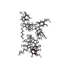 CCCCCC[C@H]1O[C@@H](n2cnc3c(N)ncnc32)[C@@H](OCCOC)C1OP(=O)(O)OC[C@H]1O[C@@H](n2cc(C)c(N)nc2=O)[C@@H](OCCOC)C1OP(=O)(S)OC[C@H]1O[C@@H](n2cc(C)c(=O)[nH]c2=O)[C@@H](OCCOC)C1OP(=O)(S)OC[C@H]1O[C@@H](n2cc(C)c(N)nc2=O)[C@@H](OCCOC)C1O